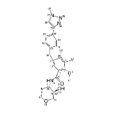 COc1c(C(=O)N[C@H]2CCOC[C@@H]2O)cc(Cc2ccc(-c3cn(C)nn3)cc2)c(C)c1C